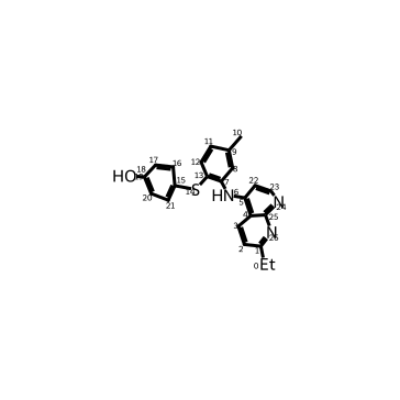 CCc1ccc2c(Nc3cc(C)ccc3Sc3ccc(O)cc3)ccnc2n1